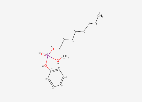 CCCCCCCCOP(=O)(OC)Oc1ccccc1